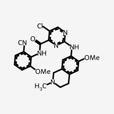 COc1cc2c(cc1Nc1ncc(Cl)c(C(=O)Nc3c(C#N)cccc3OC)n1)CN(C)CC2